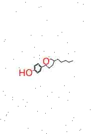 CCCCCC1CCC(c2ccc(O)cc2)OC1